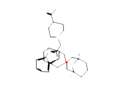 CC(=O)C1CCN(Cc2nc3ccccc3n2[C@H]2C[C@H]3CCC[C@@H](C2)N3[C@H]2C[C@@H]3CCC[C@@H](C3)C2)CC1